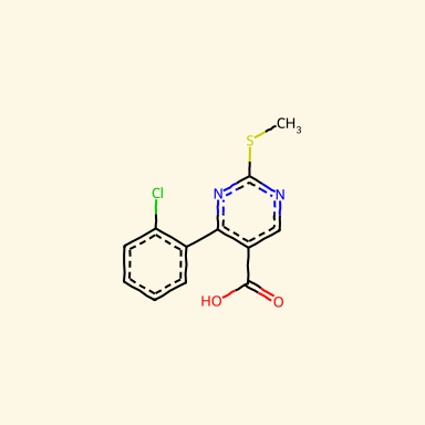 CSc1ncc(C(=O)O)c(-c2ccccc2Cl)n1